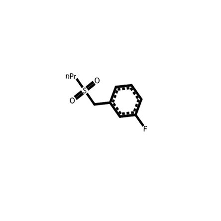 CCCS(=O)(=O)Cc1cccc(F)c1